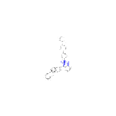 c1ccc(-c2ccc(-c3ccc(-c4nc(-c5ccc6c7c(ccc6c5)-c5ccccc5C7)c5ccccc5n4)cc3)cc2)cc1